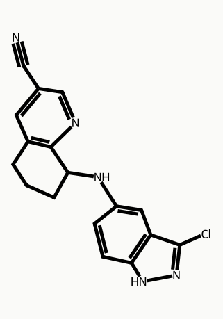 N#Cc1cnc2c(c1)CCCC2Nc1ccc2[nH]nc(Cl)c2c1